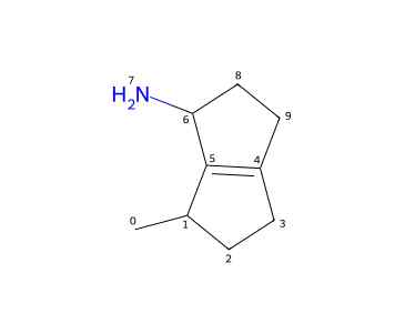 CC1CCC2=C1C(N)CC2